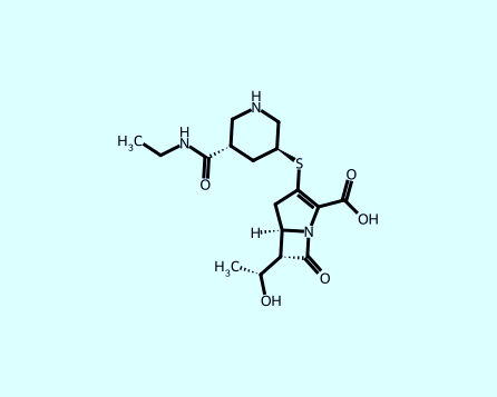 CCNC(=O)[C@@H]1CNC[C@@H](SC2=C(C(=O)O)N3C(=O)[C@H]([C@@H](C)O)[C@H]3C2)C1